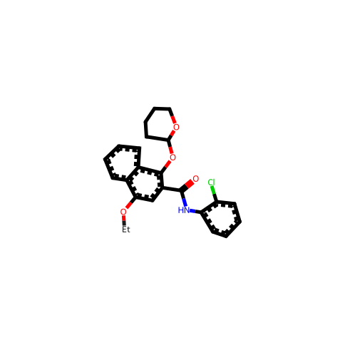 CCOc1cc(C(=O)Nc2ccccc2Cl)c(OC2CCCCO2)c2ccccc12